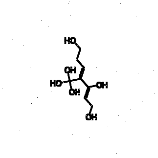 OCC=C(O)C(=CCCO)C(O)(O)O